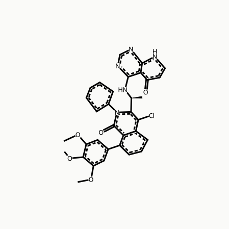 COc1cc(-c2cccc3c(Cl)c([C@H](C)Nc4ncnc5[nH]ccc(=O)c45)n(-c4ccccc4)c(=O)c23)cc(OC)c1OC